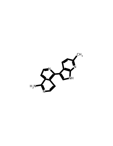 Cc1ccc2c(-c3nccc4c(N)nccc34)c[nH]c2n1